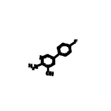 Nc1ncc(-c2ccc(F)cc2)cc1O